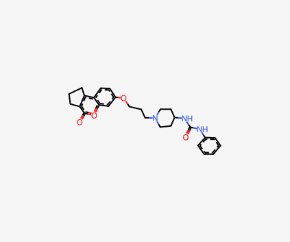 O=C(Nc1ccccc1)NC1CCN(CCCOc2ccc3c4c(c(=O)oc3c2)CCC4)CC1